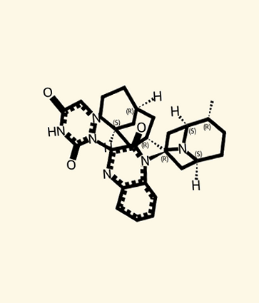 C[C@@H]1CC[C@H]2C[C@@H](n3c(=O)c(-n4ncc(=O)[nH]c4=O)nc4ccccc43)C[C@@H]1N2C[C@H]1C[C@@H]2CCC[C@@H](C2)C1